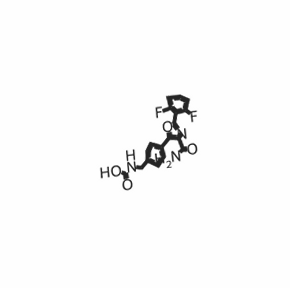 NC(=O)c1nc(-c2c(F)cccc2F)oc1-c1ccc(CNC(=O)O)cc1